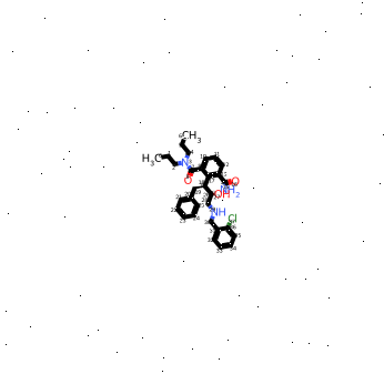 CCCN(CCC)C(=O)c1cccc(C(N)=O)c1[C@H](Cc1ccccc1)[C@@H](O)CNCc1ccccc1Cl